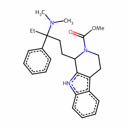 CCC(CCC1c2[nH]c3ccccc3c2CCN1C(=O)OC)(c1ccccc1)N(C)C